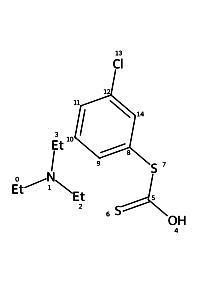 CCN(CC)CC.OC(=S)Sc1cccc(Cl)c1